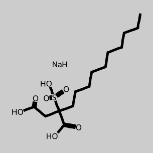 CCCCCCCCCCC(CC(=O)O)(C(=O)O)S(=O)(=O)O.[NaH]